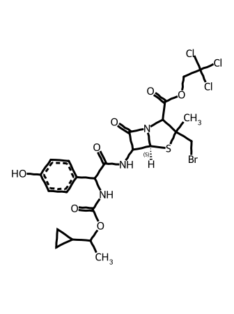 CC(OC(=O)NC(C(=O)NC1C(=O)N2C(C(=O)OCC(Cl)(Cl)Cl)C(C)(CBr)S[C@@H]12)c1ccc(O)cc1)C1CC1